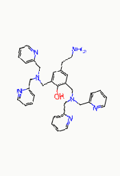 NCCc1cc(CN(Cc2ccccn2)Cc2ccccn2)c(O)c(CN(Cc2ccccn2)Cc2ccccn2)c1